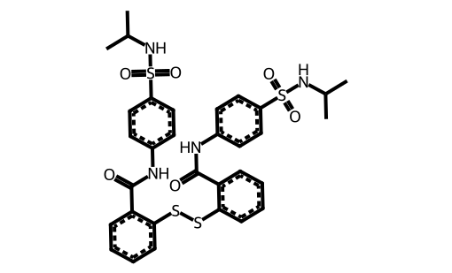 CC(C)NS(=O)(=O)c1ccc(NC(=O)c2ccccc2SSc2ccccc2C(=O)Nc2ccc(S(=O)(=O)NC(C)C)cc2)cc1